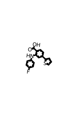 O=C(O)c1ccc(-c2cccs2)cc1Nc1ccc(F)cc1